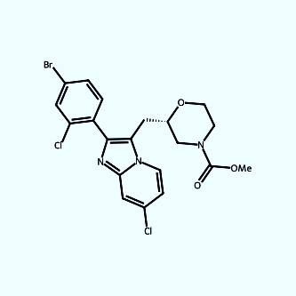 COC(=O)N1CCO[C@@H](Cc2c(-c3ccc(Br)cc3Cl)nc3cc(Cl)ccn23)C1